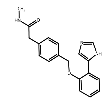 CNC(=O)Cc1ccc(COc2ccccc2-c2cnc[nH]2)cc1